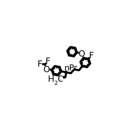 C=CC(CCC)(CCCc1ccc(F)c(Oc2ccccc2)c1)c1ccc(OC(F)F)cc1